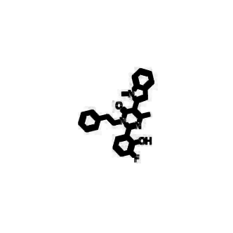 Cc1nc(-c2cccc(F)c2O)n(CCc2ccccc2)c(=O)c1-c1cc2ccccc2n1C